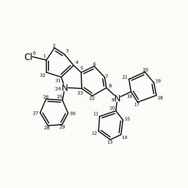 Clc1ccc2c3ccc(N(c4ccccc4)c4ccccc4)cc3n(-c3ccccc3)c2c1